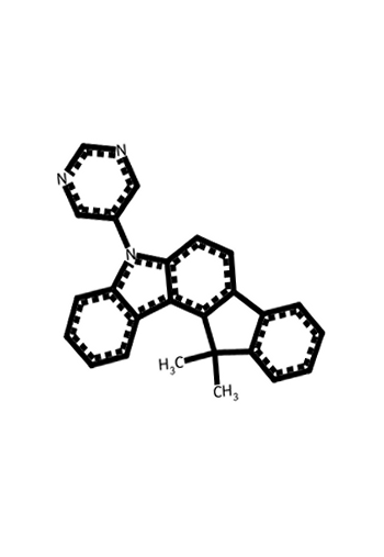 CC1(C)c2ccccc2-c2ccc3c(c21)c1ccccc1n3-c1cncnc1